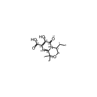 CCC1COC(C)(C)c2nc(C(=O)O)c(O)c(=O)n21